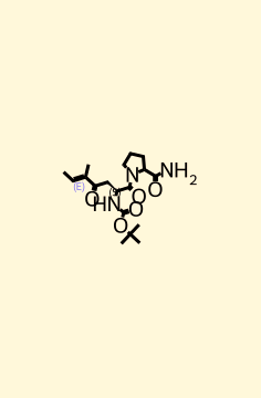 C/C=C(\C)C(=O)C[C@H](NC(=O)OC(C)(C)C)C(=O)N1CCCC1C(N)=O